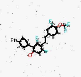 CCc1ccc(-c2c([O])cc(F)c(CCc3ccc(OC(F)F)c(F)c3)c2F)cc1